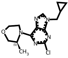 C[C@H]1COCCN1c1nc(Cl)nc2c1ncn2CC1CC1